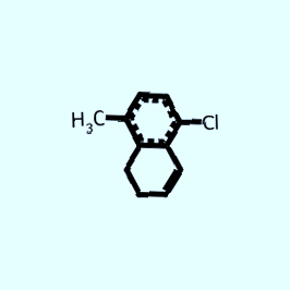 Cc1ccc(Cl)c2c1CCC=C2